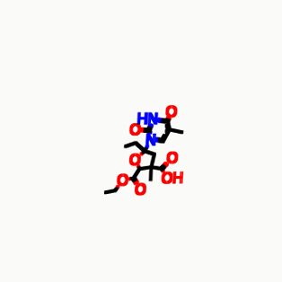 CCOC(=O)C1OC(CC)(n2cc(C)c(=O)[nH]c2=O)CC1(C)C(=O)O